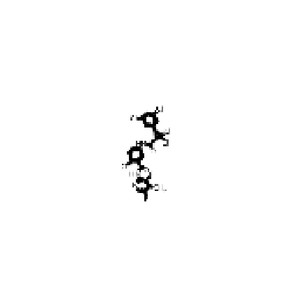 Cc1c(F)cnc(NC(=O)c2cc(NC(=O)C3C(c4cc(Cl)cc(Cl)c4)C3(Cl)Cl)ccc2Cl)c1F